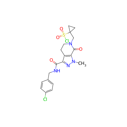 Cn1nc(C(=O)NCc2ccc(Cl)cc2)c2c1C(=O)N(CC1(S(=O)(=O)Cl)CC1)CC2